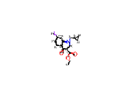 CCOC(=O)c1cn(CC2CC2)c2cc(I)ccc2c1=O